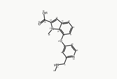 CNCc1cc(Oc2cccc3cc(C(=O)O)n(C)c23)ccn1